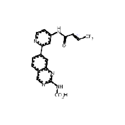 O=C(O)Nc1ncc2ccc(-c3cc(NC(=O)/C=C/C(F)(F)F)ccn3)cc2n1